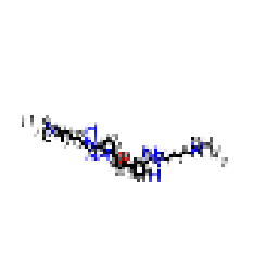 CN(C)CCCCCCNC(=N)c1cccc(-c2ccc(-c3cccc(C(=N)NCCCCCCN(C)C)c3)o2)c1